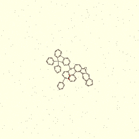 c1ccc(-c2ccc(N(c3ccc4c(c3)C(c3ccccc3)(c3ccccc3)c3ccccc3-4)c3ccc4oc5cc6ccccc6cc5c4c3-c3ccccc3)cc2)cc1